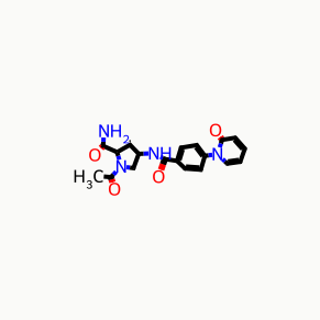 CC(=O)N1CC(NC(=O)c2ccc(-n3ccccc3=O)cc2)[CH]C1C(N)=O